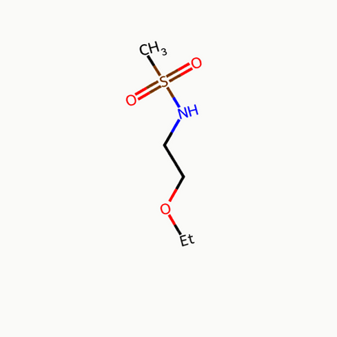 CCOCCNS(C)(=O)=O